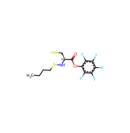 CCCCSN[C@@H](CS)C(=O)Oc1c(F)c(F)c(F)c(F)c1F